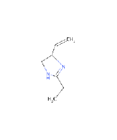 C=CC1CNC(CC)=N1